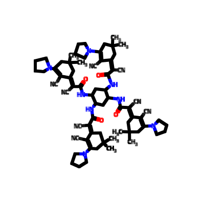 CC1(C)CC(N2CCCC2)=C(C#N)/C(=C(/C#N)C(=O)NC2CC(NC(=O)/C(C#N)=C3\CC(C)(C)CC(N4CCCC4)=C3C#N)C(NC(=O)/C(C#N)=C3\CC(C)(C)CC(N4CCCC4)=C3C#N)CC2NC(=O)/C(C#N)=C2\CC(C)(C)CC(N3CCCC3)=C2C#N)C1